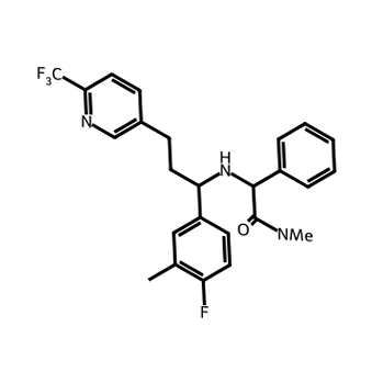 CNC(=O)C(NC(CCc1ccc(C(F)(F)F)nc1)c1ccc(F)c(C)c1)c1ccccc1